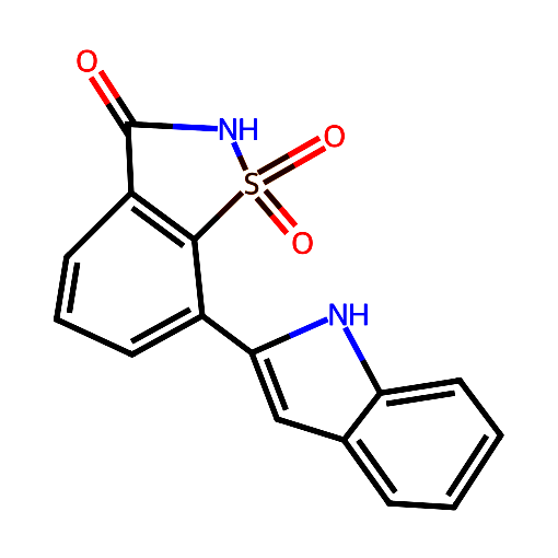 O=C1NS(=O)(=O)c2c1cccc2-c1cc2ccccc2[nH]1